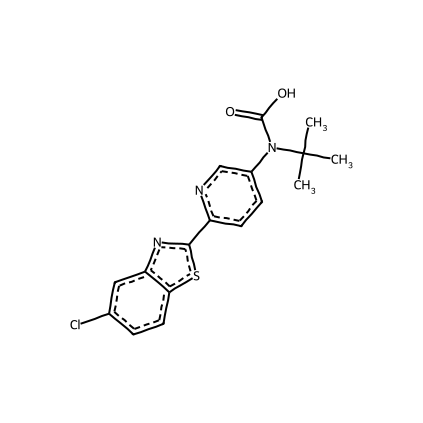 CC(C)(C)N(C(=O)O)c1ccc(-c2nc3cc(Cl)ccc3s2)nc1